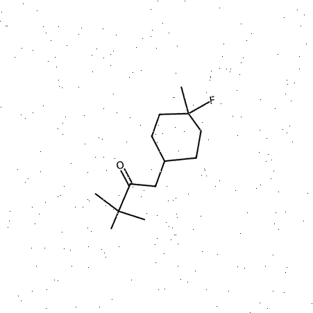 CC1(F)CCC(CC(=O)C(C)(C)C)CC1